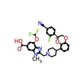 Cn1c(CN2CCC(c3cccc4c3O[C@@H](c3ccc(C#N)cc3F)CO4)CC2)nc2c(OC(F)F)cc(C(=O)O)cc21